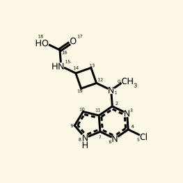 CN(c1nc(Cl)nc2[nH]ccc12)C1CC(NC(=O)O)C1